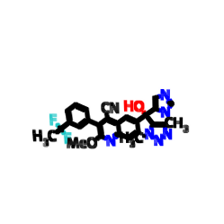 COc1nc2ccc(C(O)(c3cncn3C)c3cnnn3C)cc2c(C#N)c1-c1cccc(C(C)(F)F)c1